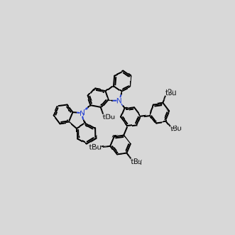 CC(C)(C)c1cc(-c2cc(-c3cc(C(C)(C)C)cc(C(C)(C)C)c3)cc(-n3c4ccccc4c4ccc(-n5c6ccccc6c6ccccc65)c(C(C)(C)C)c43)c2)cc(C(C)(C)C)c1